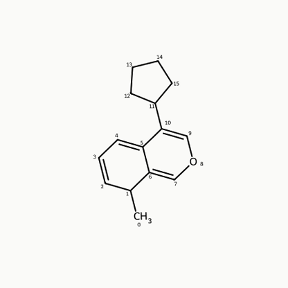 CC1C=CC=C2C1=COC=C2C1CCCC1